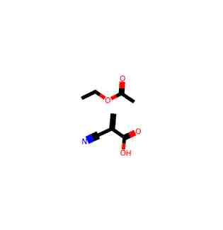 C=C(C#N)C(=O)O.CCOC(C)=O